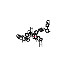 CC1(C)CCC(CN2CCN(c3ccc(C(=O)NS(=O)(=O)c4ccc(NC[C@H]5COCCO5)c([N+](=O)[O-])c4)c(N4C(=O)C(C)(C)c5nc6[nH]ccc6cc54)c3)CC2)=C(c2ccc(Cl)cc2)C1